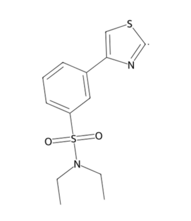 CCN(CC)S(=O)(=O)c1cccc(-c2cs[c]n2)c1